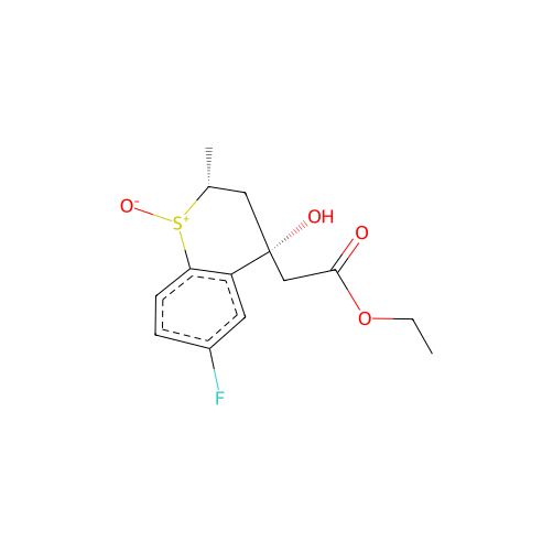 CCOC(=O)C[C@]1(O)C[C@@H](C)[S+]([O-])c2ccc(F)cc21